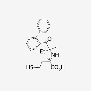 CCC(C)(N[C@@H](CCS)C(=O)O)C(=O)c1ccccc1-c1ccccc1